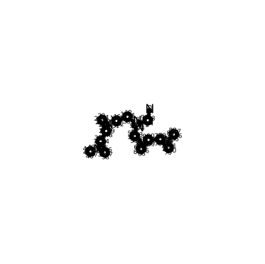 N#Cc1cccc(-c2nc(-c3cccc(-c4ccc(-n5c6ccccc6c6cc(-c7ccc8c(c7)c7ccccc7n8-c7ccccc7)ccc65)cc4)c3)cc(-c3cccc(-n4c5ccccc5c5cc(-c6ccc7c(c6)c6ccccc6n7-c6ccccc6)ccc54)c3)n2)c1